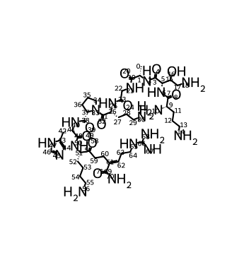 C[C@H](NC(=O)[C@@H](NC(=O)[C@@H](N)CCCN)[C@@H](O)CN)C(=O)NCC(=O)N[C@H](CCCN)C(=O)N1CCC[C@H]1C(=O)N[C@@H](Cc1cnc[nH]1)C(=O)N[C@@H](CCCCN)C(=O)CC/C(=C\CCNC(=N)N)C(N)=O